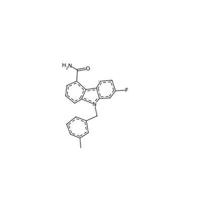 Cc1cccc(Cn2c3cc(F)c[c]c3c3c(C(N)=O)cccc32)c1